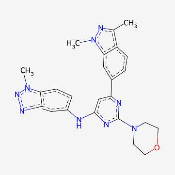 Cc1nn(C)c2cc(-c3cc(Nc4ccc5c(c4)nnn5C)nc(N4CCOCC4)n3)ccc12